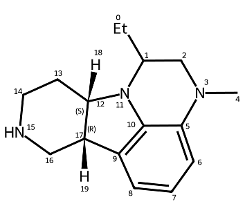 CCC1CN(C)c2cccc3c2N1[C@H]1CCNC[C@@H]31